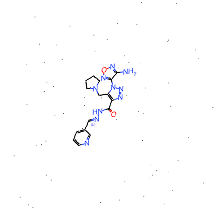 Nc1nonc1-n1nnc(C(=O)N/N=C/c2cccnc2)c1CN1CCCC1